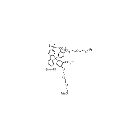 CCCOCCOCCOOc1ccc(C2(c3ccc(OCCOCCOCCOC)c(C(=O)OCC)c3)c3cc(C(C)(CC)CC)ccc3-c3ccc(C(C)(CC)CC)cc32)cc1C(=O)OCC